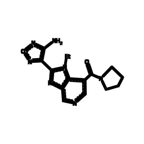 CCn1c(-c2nonc2N)nc2cncc(C(=O)N3CCCC3)c21